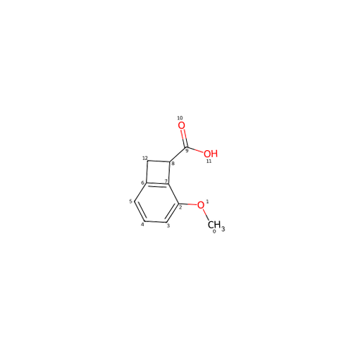 COc1cccc2c1C(C(=O)O)C2